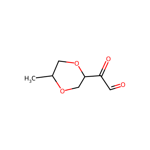 CC1COC(C(=O)C=O)CO1